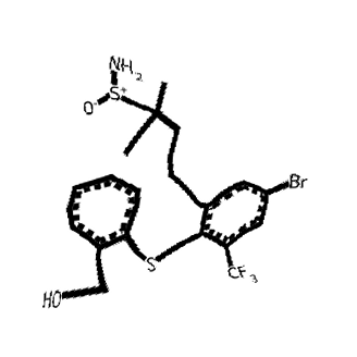 CC(C)(CCc1cc(Br)cc(C(F)(F)F)c1Sc1ccccc1CO)[S+](N)[O-]